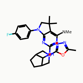 CNc1nc(NC2C3CCC2CN(c2nnc(C)o2)C3)nc2c1C(C)(C)CN2c1ccc(F)cc1